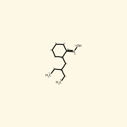 CCC(CC)CC1CCCCC1=NO